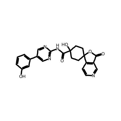 O=C1OC2(CCC(O)(C(=O)Nc3ncc(-c4cccc(O)c4)cn3)CC2)c2ccncc21